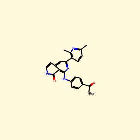 CNC(=O)c1ccc(Nc2nc(-c3ccc(C)nc3C)cc3cc[nH]c(=O)c23)cc1